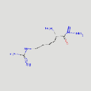 N=C(N)NCCC[C@H](N)C(=O)NN